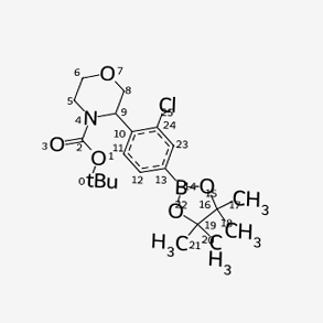 CC(C)(C)OC(=O)N1CCOCC1c1ccc(B2OC(C)(C)C(C)(C)O2)cc1Cl